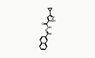 C/C(=N\NC(=O)c1cc(C2CC2)n[nH]1)c1ccc2ccccc2c1